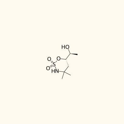 C[C@H](O)[C@@H]1CC(C)(C)NS(=O)(=O)O1